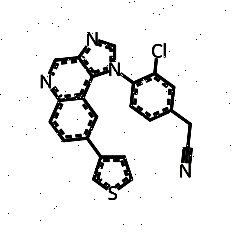 N#CCc1ccc(-n2cnc3cnc4ccc(-c5ccsc5)cc4c32)c(Cl)c1